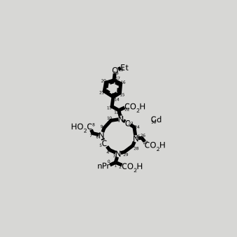 CCCC(C(=O)O)N1CCN(CC(=O)O)CCN(C(Cc2ccc(OCC)cc2)C(=O)O)CCN(CC(=O)O)CC1.[Gd]